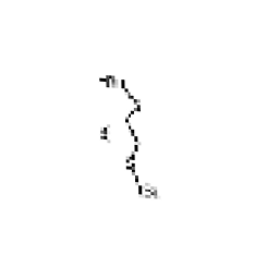 CC(C)(C)SCCSC(C)(C)C.[B]